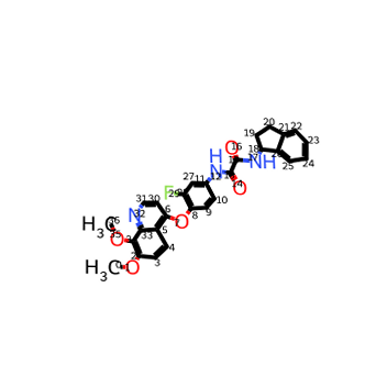 COc1ccc2c(Oc3ccc(NC(=O)C(=O)NC4CCc5ccccc54)cc3F)ccnc2c1OC